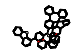 c1ccc(-c2ccccc2N(c2ccc(-c3cccc4c3oc3ccccc34)cc2)c2ccc3c(c2)C2(c4ccccc4-c4ccccc4-3)c3ccccc3-c3cc4c(cc32)oc2ccccc24)cc1